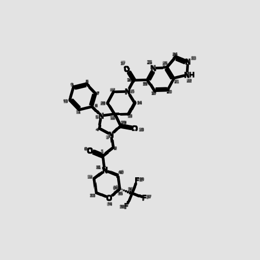 O=C(CN1CN(c2ccccc2)C2(CCN(C(=O)c3ccc4[nH]ncc4n3)CC2)C1=O)N1CCO[C@@H](C(F)(F)F)C1